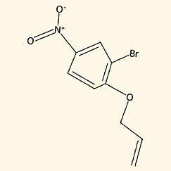 C=CCOc1ccc([N+](=O)[O-])cc1Br